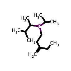 C=C(CC)CCP(C(C)C)C(C)C(C)C